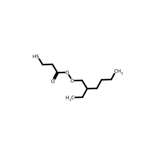 CCCCC(CC)COOC(=O)CCS